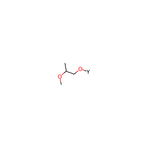 COC(C)C[O][Y]